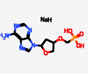 Nc1ncnc2c1ncn2C1CC(OCP(=O)(O)O)CO1.[NaH]